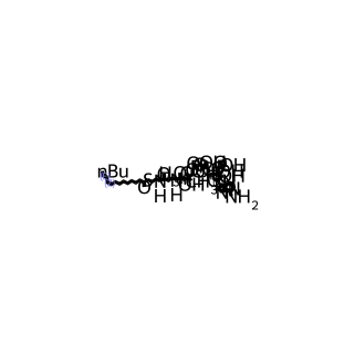 CCCC/C=C/C=C\CCCCCCCC(=O)SCCNC(=O)CCNC(=O)[C@H](O)C(C)(C)COP(=O)(O)OP(=O)(O)OC[C@H]1O[C@@H](n2cnc3c(N)ncnc32)[C@H](O)[C@@H]1OP(=O)(O)O